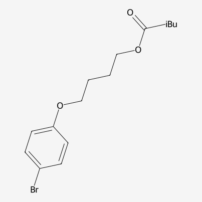 CCC(C)C(=O)OCCCCOc1ccc(Br)cc1